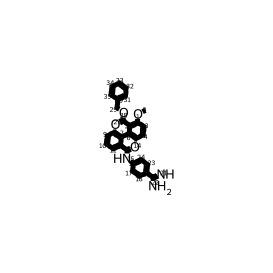 COc1cccc(-c2ccccc2C(=O)Nc2ccc(C(=N)N)cc2)c1C(=O)OCc1ccccc1